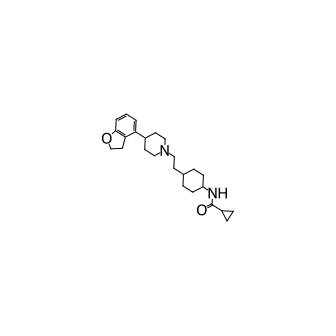 O=C(NC1CCC(CCN2CCC(c3cccc4c3CCO4)CC2)CC1)C1CC1